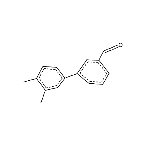 Cc1ccc(-c2cccc(C=O)c2)cc1C